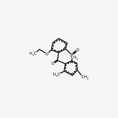 CCOc1cccc(P=O)c1C(=O)c1c(C)cc(C)cc1C